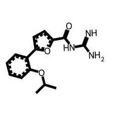 CC(C)Oc1ccccc1-c1ccc(C(=O)NC(=N)N)o1